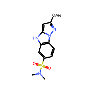 COc1cc2[nH]c3cc(S(=O)(=O)N(C)C)ccc3n2n1